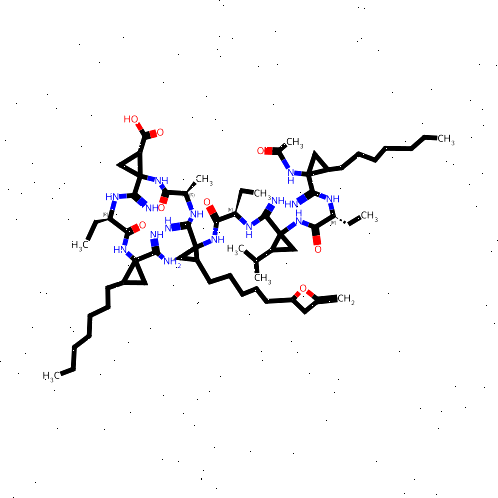 C=C1CC(CCCCCC2CC2(NC(=O)[C@@H](CC)NC(=N)C2(NC(=O)[C@@H](CC)NC(=N)C3(NC(C)=O)CC3CCCCCCC)CC2C(C)C)C(=N)N[C@H](C)C(=O)NC2(C(=N)N[C@H](CC)C(=O)NC3(C(=N)N)CC3CCCCCCC)CC2C(=O)O)O1